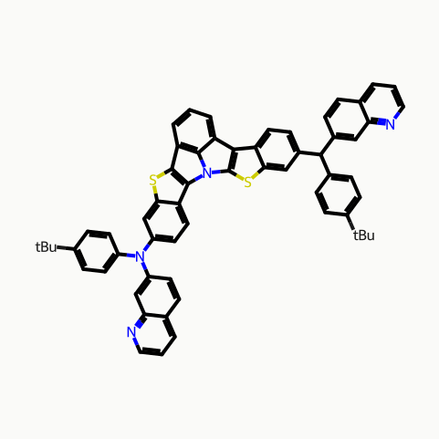 CC(C)(C)c1ccc(C(c2ccc3cccnc3c2)c2ccc3c(c2)sc2c3c3cccc4c5sc6cc(N(c7ccc(C(C)(C)C)cc7)c7ccc8cccnc8c7)ccc6c5n2c43)cc1